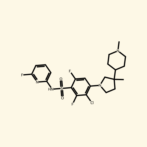 CN1CCC(C2(C)CCN(c3cc(F)c(S(=O)(=O)Nc4cccc(F)n4)c(F)c3Cl)C2)CC1